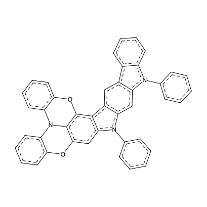 c1ccc(-n2c3ccccc3c3cc4c5c6c7c(cc5n(-c5ccccc5)c4cc32)Oc2ccccc2N7c2ccccc2O6)cc1